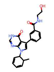 CC1C=CC=CC1n1cc(-c2cccc(C(=O)NCCO)c2)c2c(=O)[nH]cnc21